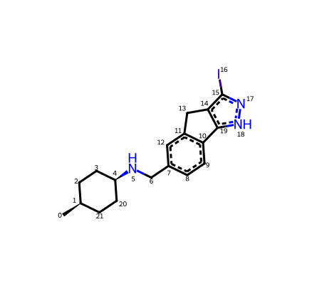 C[C@H]1CC[C@@H](NCc2ccc3c(c2)Cc2c(I)n[nH]c2-3)CC1